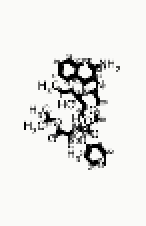 CCC[C@](O)(CCOP(=O)(N[C@@H](C)C(=O)OC(C)C)Oc1ccncc1)n1c(COCC)nc2c(N)nc3ccccc3c21